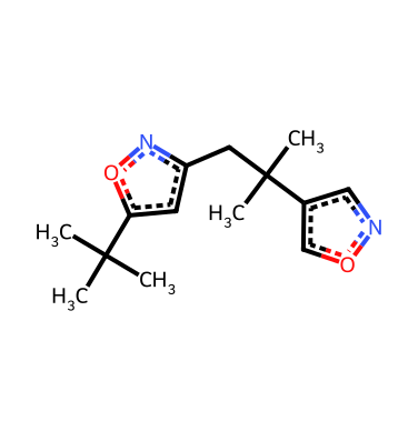 CC(C)(C)c1cc(CC(C)(C)c2cnoc2)no1